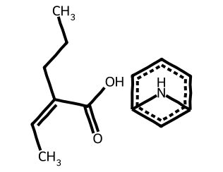 CC=C(CCC)C(=O)O.c1cc2cc(c1)N2